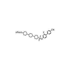 CCCCCC1CCC(C2CCC(C3CCC(C(F)(F)Oc4ccc(-c5ccc(C#N)cc5)c(F)c4)CC3)CC2)CC1